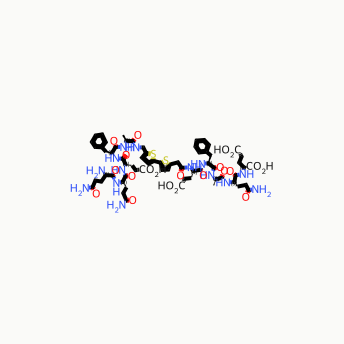 C[C@H](NC(=O)[C@H](Cc1ccccc1)NC(=O)[C@H](CCC(=O)O)NC(=O)Cc1ccc(-c2ccc(CNC(=O)[C@H](C)NC(=O)[C@H](Cc3ccccc3)NC(=O)[C@H](CCC(=O)O)NC(=O)[C@H](CCC(N)=O)NC(=O)[C@@H](N)CCC(N)=O)s2)s1)C(=O)N[C@@H](CCC(N)=O)C(=O)N[C@@H](CCC(=O)O)C(=O)O